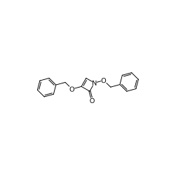 O=C1C(OCc2ccccc2)=CN1OCc1ccccc1